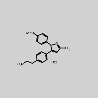 COc1ccc(-n2nc(C(F)(F)F)cc2-c2ccc(CCN)cc2)cc1.Cl